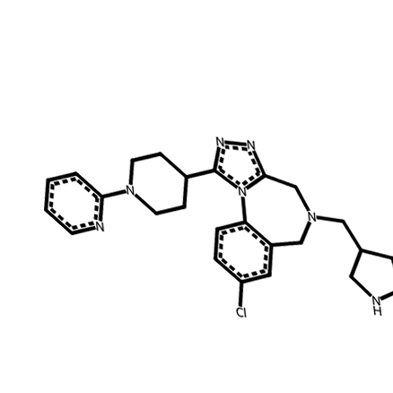 Clc1ccc2c(c1)CN(CC1CCNC1)Cc1nnc(C3CCN(c4ccccn4)CC3)n1-2